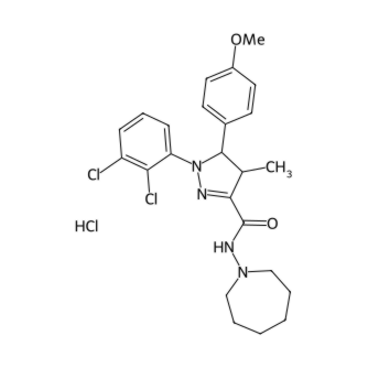 COc1ccc(C2C(C)C(C(=O)NN3CCCCCC3)=NN2c2cccc(Cl)c2Cl)cc1.Cl